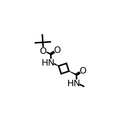 CNC(=O)[C@H]1C[C@@H](NC(=O)OC(C)(C)C)C1